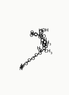 CC(CCC(=O)OCCOCCOCCOCCOCCN=[N+]=[N-])C1CC[C@H]2[C@@H]3CC[C@@H]4C[C@H](OC(=O)C(CC(=O)O)NC(=O)c5ccc([N+](=O)[O-])cc5)CC[C@]4(C)[C@H]3CC[C@]12C